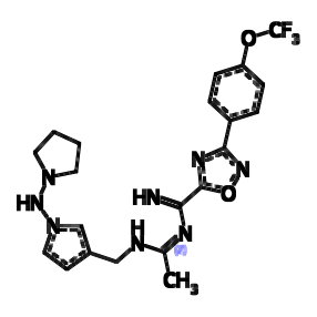 C/C(=N/C(=N)c1nc(-c2ccc(OC(F)(F)F)cc2)no1)NCc1ccn(NN2CCCC2)c1